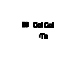 [Bi].[Ge].[Ge].[Te]